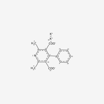 Cc1nc(C)c(C(=O)[O-])c(-c2ccccc2)c1C(=O)[O-].[K+].[K+]